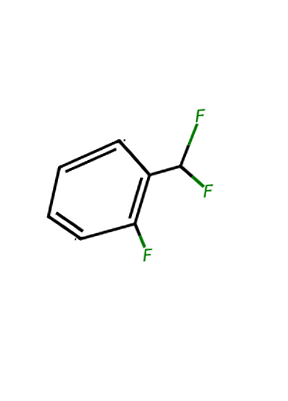 Fc1[c]cc[c]c1C(F)F